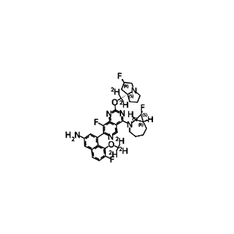 [2H]C([2H])([2H])Oc1c(F)ccc2cc(N)cc(-c3ncc4c(N5CCCC[C@H]6[C@H](F)[C@H]65)nc(OC([2H])([2H])[C@@]56CCCN5C[C@H](F)C6)nc4c3F)c12